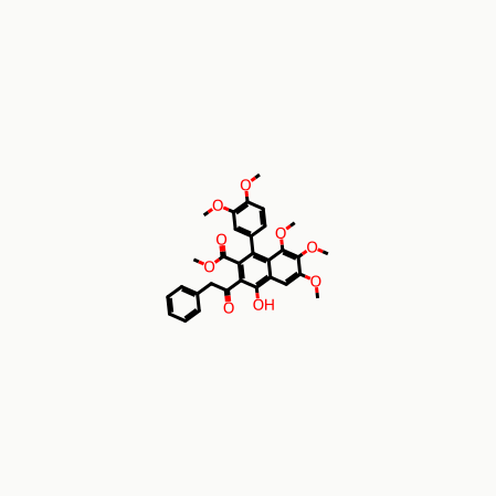 COC(=O)c1c(C(=O)Cc2ccccc2)c(O)c2cc(OC)c(OC)c(OC)c2c1-c1ccc(OC)c(OC)c1